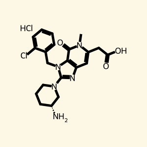 Cl.Cn1c(CC(=O)O)cc2nc(N3CCC[C@@H](N)C3)n(Cc3ccccc3Cl)c2c1=O